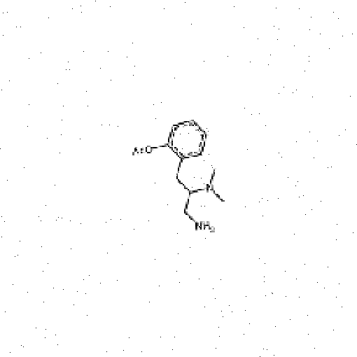 CC(=O)Oc1ccccc1CC(CN)N(C)C